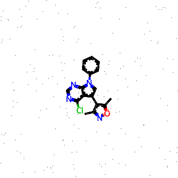 Cc1noc(C)c1-c1cn(-c2ccccc2)c2ncnc(Cl)c12